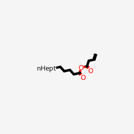 C=CCC(=O)OC(=O)CCCCCCCCCCC